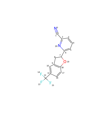 N#Cc1cccc(C2Cc3cc(C(F)(F)F)ccc3O2)n1